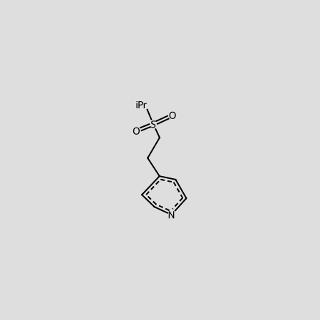 CC(C)S(=O)(=O)CCc1ccncc1